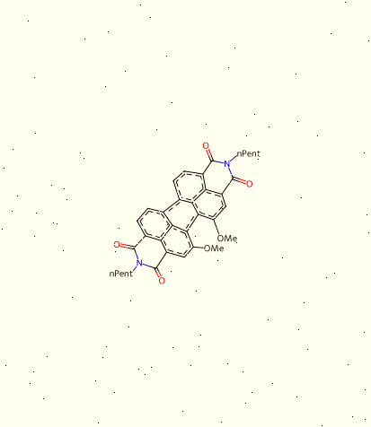 CCCCCN1C(=O)c2ccc3c4ccc5c6c(cc(OC)c(c7c(OC)cc(c2c37)C1=O)c64)C(=O)N(CCCCC)C5=O